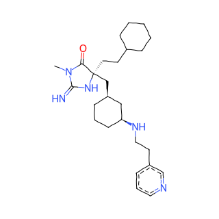 CN1C(=N)N[C@](CCC2CCCCC2)(C[C@@H]2CCC[C@H](NCCc3cccnc3)C2)C1=O